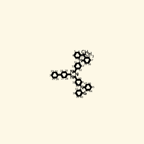 CC1(C)c2ccccc2N(c2ccc(-c3nc(-c4ccc(-c5ccccc5)cc4)nc(-c4ccc(N5c6ccccc6Sc6ccccc65)cc4)n3)cc2)c2ccccc21